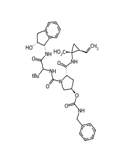 C=C[C@@H]1C[C@]1(NC(=O)[C@@H]1C[C@@H](OC(=O)NCc2ccccc2)CN1C(=O)NC(C(=O)N[C@H]1c2ccccc2C[C@H]1O)C(C)(C)C)C(=O)O